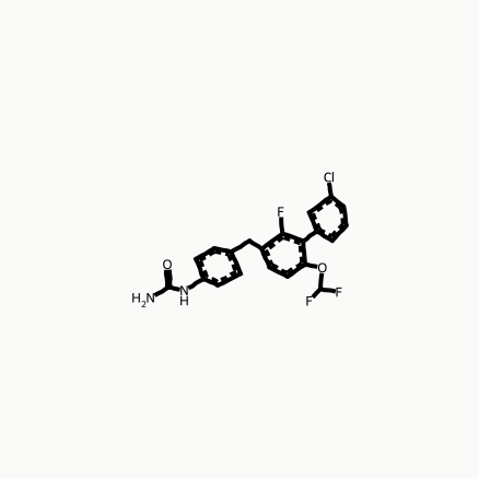 NC(=O)Nc1ccc(Cc2ccc(OC(F)F)c(-c3cccc(Cl)c3)c2F)cc1